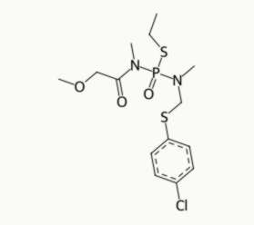 CCSP(=O)(N(C)CSc1ccc(Cl)cc1)N(C)C(=O)COC